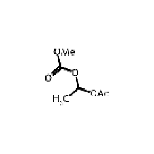 COC(=O)OC(C)OC(C)=O